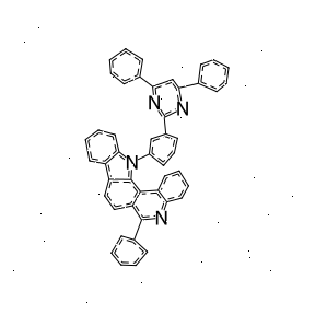 c1ccc(-c2cc(-c3ccccc3)nc(-c3cccc(-n4c5ccccc5c5ccc6c(-c7ccccc7)nc7ccccc7c6c54)c3)n2)cc1